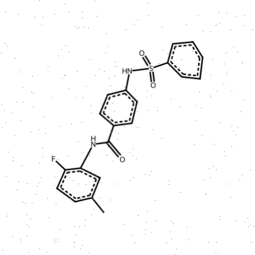 Cc1ccc(F)c(NC(=O)c2ccc(NS(=O)(=O)c3ccccc3)cc2)c1